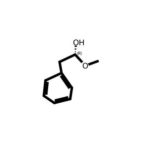 CO[C@@H](O)Cc1ccccc1